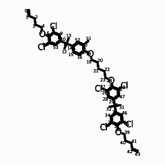 C=CCCCOc1c(Cl)cc(C(C)(C)c2ccc(OCCCCCOc3c(Cl)cc(C(C)(C)c4cc(Cl)c(OCCCC=C)c(Cl)c4)cc3Cl)c(C)c2)cc1Cl